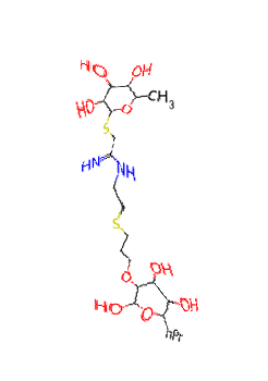 CCCC1OC(O)C(OCCCSCCNC(=N)CSC2OC(C)C(O)C(O)C2O)C(O)C1O